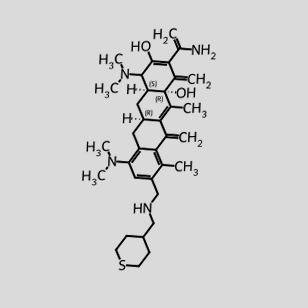 C=C(N)C1=C(O)C(N(C)C)[C@@H]2C[C@@H]3Cc4c(N(C)C)cc(CNCC5CCSCC5)c(C)c4C(=C)C3=C(C)[C@]2(O)C1=C